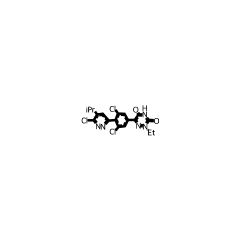 CCn1nc(-c2cc(Cl)c(-c3cc(C(C)C)c(Cl)nn3)c(Cl)c2)c(=O)[nH]c1=O